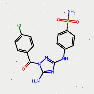 Nc1nc(Nc2ccc(S(N)(=O)=O)cc2)nn1C(=O)c1ccc(Cl)cc1